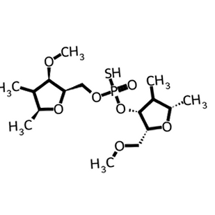 COC[C@H]1O[C@@H](C)C(C)[C@H]1OP(=O)(S)OC[C@H]1O[C@@H](C)C(C)[C@H]1OC